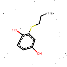 CCCCCCCCSc1cc(O)ccc1O